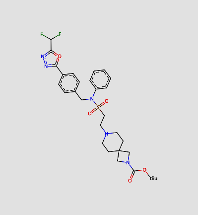 CC(C)(C)OC(=O)N1CC2(CCN(CCS(=O)(=O)N(Cc3ccc(-c4nnc(C(F)F)o4)cc3)c3ccccc3)CC2)C1